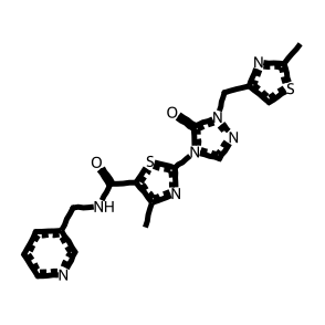 Cc1nc(Cn2ncn(-c3nc(C)c(C(=O)NCc4cccnc4)s3)c2=O)cs1